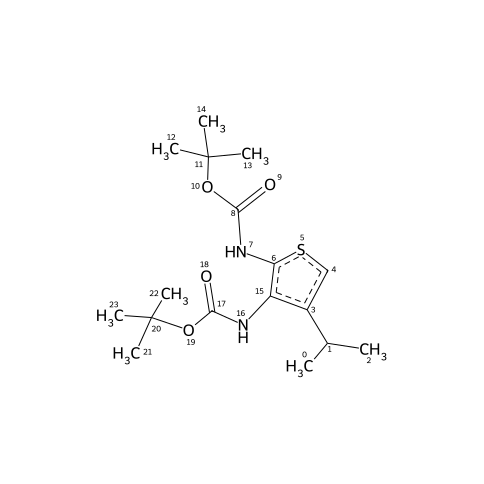 CC(C)c1csc(NC(=O)OC(C)(C)C)c1NC(=O)OC(C)(C)C